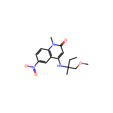 CCC(C)(COC)Nc1cc(=O)n(C)c2ccc([N+](=O)[O-])cc12